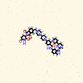 Cc1ccc(NC(=O)c2ccc(N3CCC(N4CCN(Cc5ccc6c(c5F)C(=O)N(C5CCC(=O)NC5=O)C6=O)CC4)CC3)cc2)cc1Nc1nccc(-c2cccnc2)n1